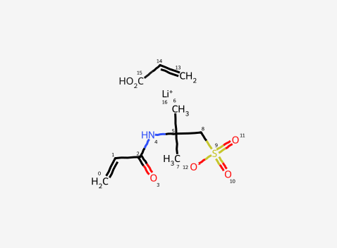 C=CC(=O)NC(C)(C)CS(=O)(=O)[O-].C=CC(=O)O.[Li+]